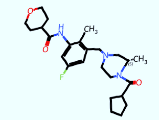 Cc1c(CN2CCN(C(=O)C3CCCC3)[C@@H](C)C2)cc(F)cc1NC(=O)C1CCOCC1